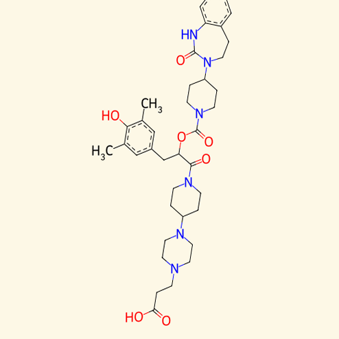 Cc1cc(CC(OC(=O)N2CCC(N3CCc4ccccc4NC3=O)CC2)C(=O)N2CCC(N3CCN(CCC(=O)O)CC3)CC2)cc(C)c1O